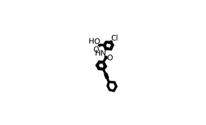 O=C(Nc1ccc(Cl)cc1C(=O)O)c1cccc(C#CC2CCCCC2)c1